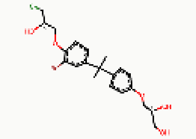 CC(C)(c1ccc(OC[C@@H](O)CO)cc1)c1ccc(OC[C@@H](O)CCl)c(Br)c1